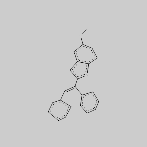 COc1ccc2[nH]c(/C(=C/c3ccccc3)c3ccccc3)cc2c1